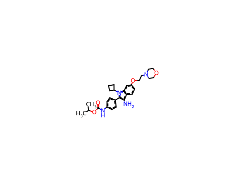 CC(C)OC(=O)Nc1ccc(-c2c(N)c3ccc(OCCN4CCOCC4)cc3n2C2CCC2)cc1